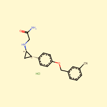 Cl.N#Cc1cccc(COc2ccc([C@@H]3C[C@H]3NCC(N)=O)cc2)c1